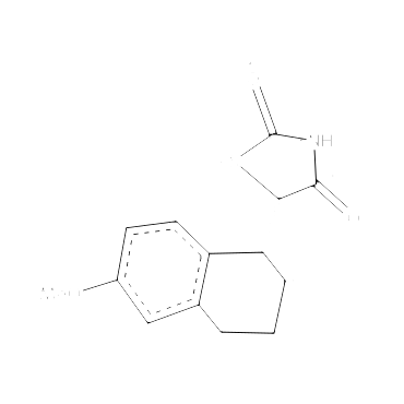 COc1ccc2c(c1)CCC[C@H]2C1SC(=O)NC1=O